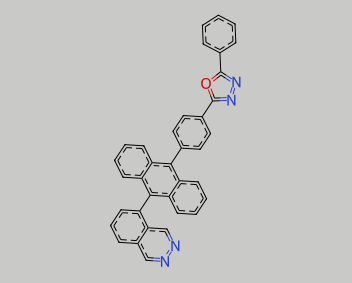 c1ccc(-c2nnc(-c3ccc(-c4c5ccccc5c(-c5cccc6cnncc56)c5ccccc45)cc3)o2)cc1